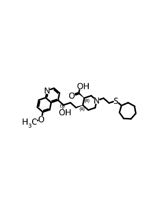 COc1ccc2nccc([C@@H](O)CC[C@@H]3CCN(CCSC4CCCCCC4)C[C@@H]3C(=O)O)c2c1